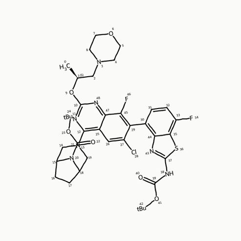 C[C@@H](CN1CCOCC1)Oc1nc(N2CC3CCC(C2)N3C(=O)OC(C)(C)C)c2cc(Cl)c(-c3ccc(F)c4sc(NC(=O)OC(C)(C)C)nc34)c(F)c2n1